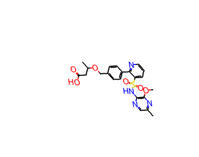 COc1nc(C)cnc1NS(=O)(=O)c1cccnc1-c1ccc(COC(C)CC(=O)O)cc1